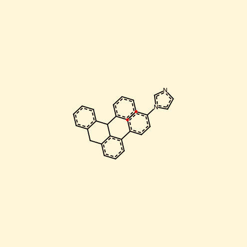 c1ccc(C2c3ccccc3Cc3cccc(-c4ccc(-n5ccnc5)cc4)c32)cc1